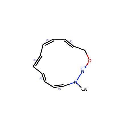 N#CN1\C=C/C=C/C=C/C=C\C=C\CON1